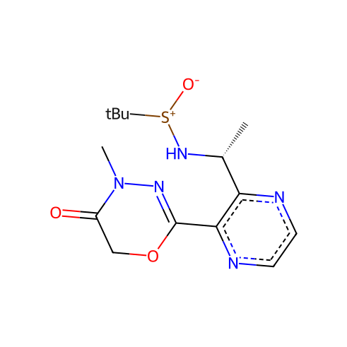 C[C@@H](N[S+]([O-])C(C)(C)C)c1nccnc1C1=NN(C)C(=O)CO1